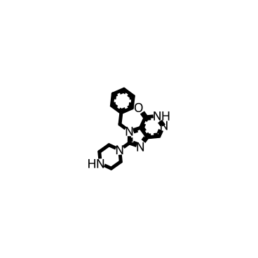 O=c1[nH]ncc2nc(N3CCNCC3)n(Cc3ccccc3)c12